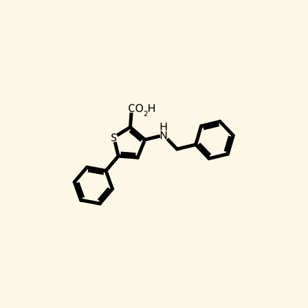 O=C(O)c1sc(-c2ccccc2)cc1NCc1ccccc1